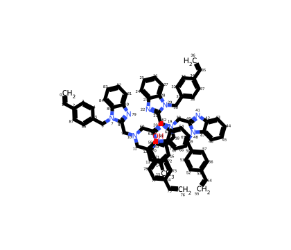 C=Cc1ccc(Cn2c(CN(Cc3cc(C)cc(CN(Cc4nc5ccccc5n4Cc4ccc(C=C)cc4)Cc4nc5ccccc5n4Cc4ccc(C=C)cc4)c3O)Cc3nc4ccccc4n3Cc3ccc(C=C)cc3)nc3ccccc32)cc1